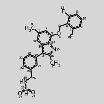 Cc1cc(OCc2c(F)cccc2F)n2nc(C)c(-c3cccc(CN[SH](=O)=O)c3)c2c1